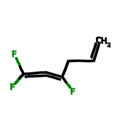 C=CCC(F)=C=C(F)F